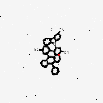 N#Cc1ccc(-c2ccc(C#N)cc2-n2c3ccccc3c3cc(C#N)ccc32)c(-c2c3ccccc3c(-c3ccccc3)c3ccccc23)c1